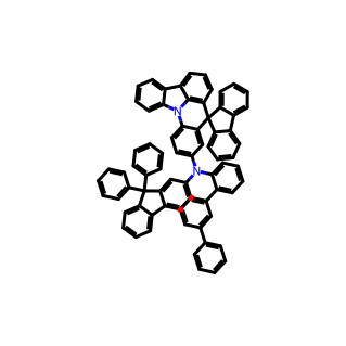 c1ccc(-c2cccc(-c3ccccc3N(c3ccc4c(c3)C(c3ccccc3)(c3ccccc3)c3ccccc3-4)c3ccc4c(c3)C3(c5ccccc5-c5ccccc53)c3cccc5c6ccccc6n-4c35)c2)cc1